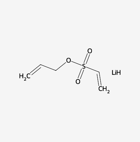 C=CCOS(=O)(=O)C=C.[LiH]